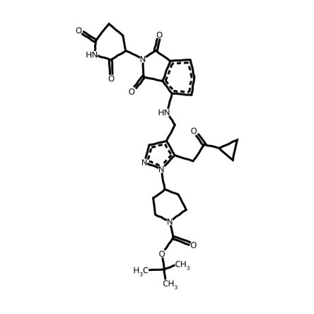 CC(C)(C)OC(=O)N1CCC(n2ncc(CNc3cccc4c3C(=O)N(C3CCC(=O)NC3=O)C4=O)c2CC(=O)C2CC2)CC1